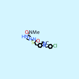 CNC(=O)[C@@H]1CN(C2=NC(=O)C(=Cc3ccc4c(cnn4Cc4ccc(Cl)cc4C(F)(F)F)c3)S2)CCN1